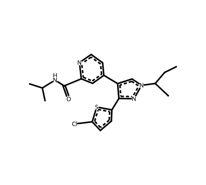 CCC(C)n1cc(-c2ccnc(C(=O)NC(C)C)c2)c(-c2ccc(Cl)s2)n1